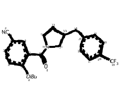 CC(C)COc1ccc(C#N)cc1C(=O)N1CCC(Cc2ccc(C(F)(F)F)cc2)C1